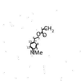 C=CC(=O)OCCc1ccc(NC)cc1